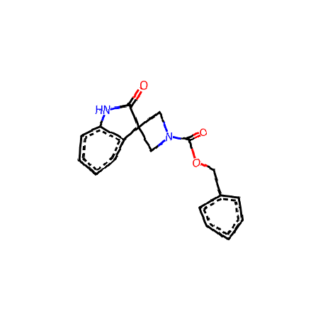 O=C(OCc1ccccc1)N1CC2(C1)C(=O)Nc1ccccc12